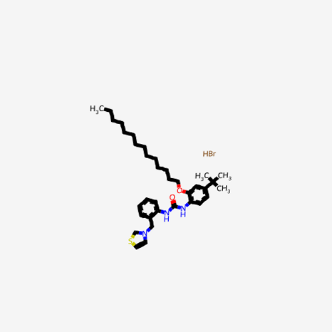 Br.CCCCCCCCCCCCCCOc1cc(C(C)(C)C)ccc1NC(=O)Nc1ccccc1CN1C=CSC1